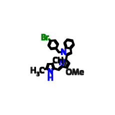 COC1=CC(c2cc3ccccc3n2Cc2ccc(Br)cc2)=NC1=Cc1[nH]c(C)cc1C